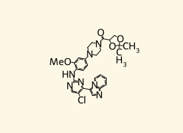 COc1cc(N2CCN(C(=O)C3COC(C)(C)O3)CC2)ccc1Nc1ncc(Cl)c(-c2cnc3ccccn23)n1